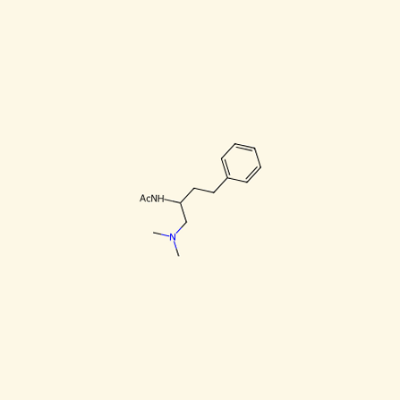 CC(=O)NC(CCc1ccccc1)CN(C)C